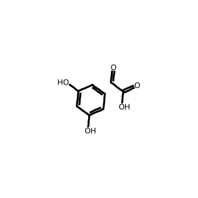 O=CC(=O)O.Oc1cccc(O)c1